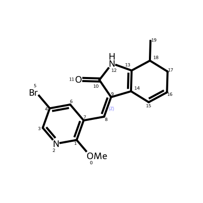 COc1ncc(Br)cc1/C=C1\C(=O)NC2=C1C=CCC2C